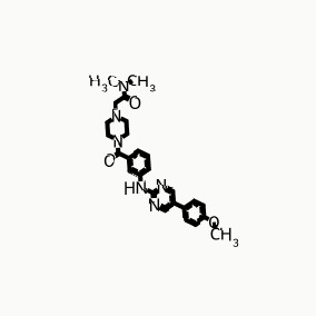 COc1ccc(-c2cnc(Nc3cccc(C(=O)N4CCN(CC(=O)N(C)C)CC4)c3)nc2)cc1